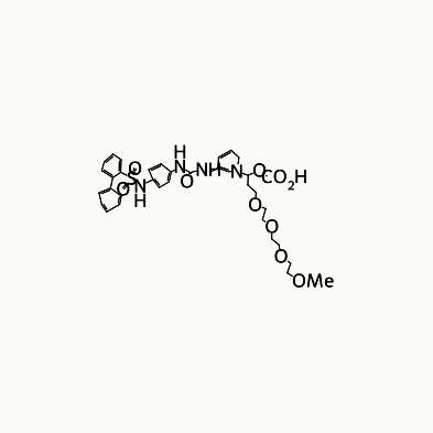 COCCOCCOCCOCCC(OC(=O)O)N1C=C(CNC(=O)Nc2ccc(NS(=O)(=O)c3ccccc3-c3ccccc3)cc2)C=CC1